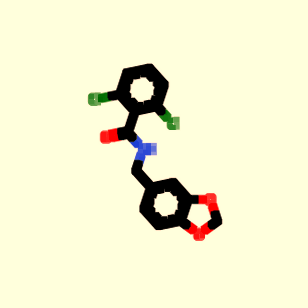 O=C(NCc1ccc2c(c1)OCO2)c1c(Cl)cccc1Cl